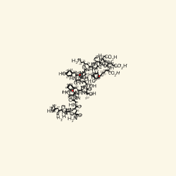 CC(C)C[C@H](NC(=O)[C@H](Cc1ccc(O)cc1)NC(=O)[C@H](CCCCN)NC(=O)[C@H](CO)NC(=O)[C@H](Cc1ccc(O)cc1)NC(=O)[C@H](CC(=O)O)NC(=O)[C@H](CO)NC(=O)[C@@H](NC(=O)[C@H](Cc1ccccc1)NC(=O)[C@@H](NC(=O)CNC(=O)[C@H](CCC(N)=O)NC(=O)C(C)(C)NC(=O)[C@@H](N)Cc1c[nH]cn1)[C@@H](C)O)[C@@H](C)O)C(=O)N[C@@H](CC(=O)O)C(=O)N[C@@H](CCC(=O)O)C(=O)N[C@@H](CCCCN)C(=O)O